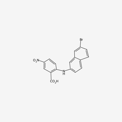 O=C(O)c1cc([N+](=O)[O-])ccc1Nc1ccc2ccc(Br)cc2c1